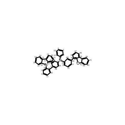 c1ccc(N(c2ccc(-c3ccccc3-n3c4ccccc4c4ccccc43)cc2)c2cccc(-c3cccc4c3oc3ccccc34)c2)cc1